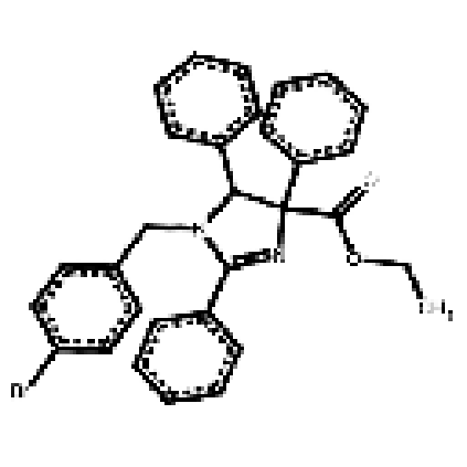 CCOC(=O)C1(c2ccccc2)N=C(c2ccccc2)N(Cc2ccc(Br)cc2)C1c1ccccc1